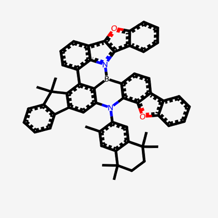 Cc1cc2c(cc1N1c3cc4c(c5c3B(c3ccc6c(oc7ccccc76)c31)n1c3c-5cccc3c3oc5ccccc5c31)C(C)(C)c1ccccc1-4)C(C)(C)CCC2(C)C